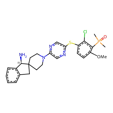 COc1ccc(Sc2cnc(N3CCC4(CC3)Cc3ccccc3[C@H]4N)cn2)c(Cl)c1P(C)(C)=O